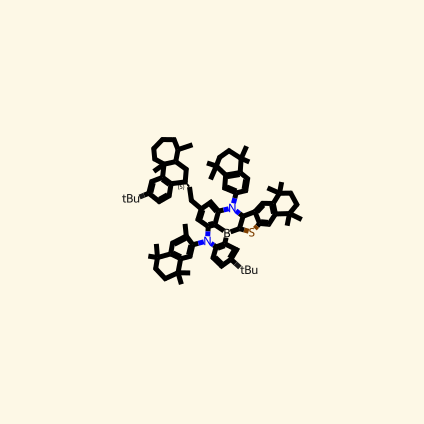 Cc1cc2c(cc1N1c3ccc(C(C)(C)C)cc3B3c4c1cc(CC[C@H]1CC5C(C)CCCCC5(C)c5cc(C(C)(C)C)ccc51)cc4N(c1ccc4c(c1)C(C)(C)CCC4(C)C)C1c4cc5c(cc4SC31)C(C)(C)CCC5(C)C)C(C)(C)CCC2(C)C